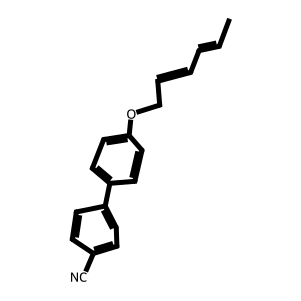 CC=CC=CCOc1ccc(-c2ccc(C#N)cc2)cc1